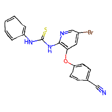 N#Cc1ccc(Oc2cc(Br)cnc2NC(=S)Nc2ccccc2)cc1